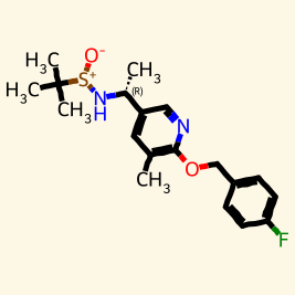 Cc1cc([C@@H](C)N[S+]([O-])C(C)(C)C)cnc1OCc1ccc(F)cc1